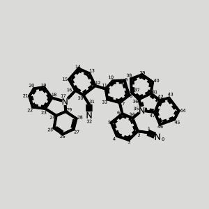 N#Cc1cccc(-c2cccc(-c3cccc(N4c5ccccc5C5C=CC=CC54)c3C#N)c2)c1-n1c2ccccc2c2ccccc21